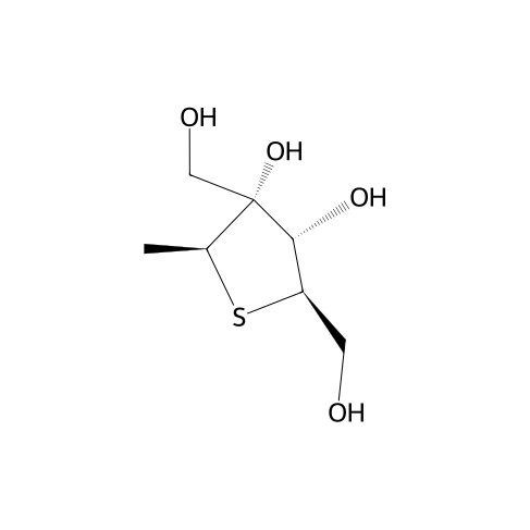 C[C@@H]1S[C@H](CO)[C@@H](O)[C@]1(O)CO